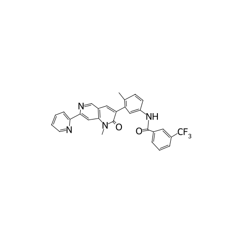 Cc1ccc(NC(=O)c2cccc(C(F)(F)F)c2)cc1-c1cc2cnc(-c3ccccn3)cc2n(C)c1=O